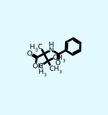 CC(C)(C)C(C)(NC(=O)c1ccccc1)C(=O)O